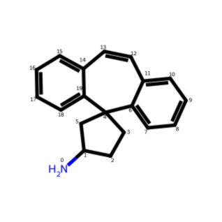 NC1CCC2(C1)c1ccccc1C=Cc1ccccc12